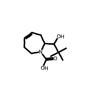 CC(C)(C)C(O)C1CC=CCCN1C(=O)O